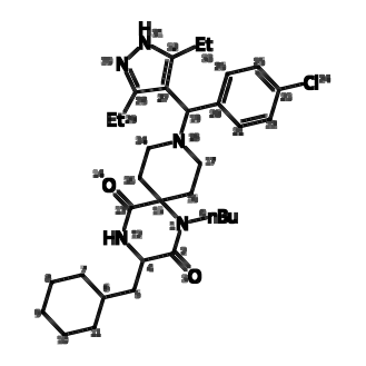 CCCCN1C(=O)C(CC2CCCCC2)NC(=O)C12CCN(C(c1ccc(Cl)cc1)c1c(CC)n[nH]c1CC)CC2